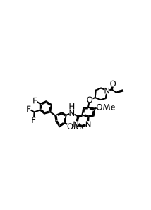 C=CC(=O)N1CCC(Oc2cc3c(Nc4cc(-c5ccc(F)c(C(F)F)c5)ccc4OC)ncnc3cc2OC)CC1